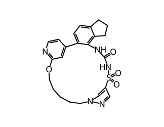 O=C1Nc2c(ccc3c2CCC3)-c2ccnc(c2)OCCCCCn2cc(cn2)S(=O)(=O)N1